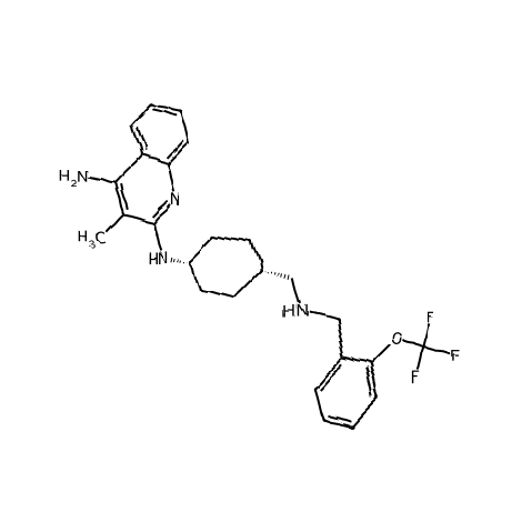 Cc1c(N[C@H]2CC[C@@H](CNCc3ccccc3OC(F)(F)F)CC2)nc2ccccc2c1N